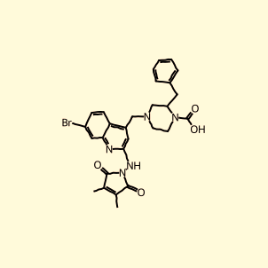 CC1=C(C)C(=O)N(Nc2cc(CN3CCN(C(=O)O)C(Cc4ccccc4)C3)c3ccc(Br)cc3n2)C1=O